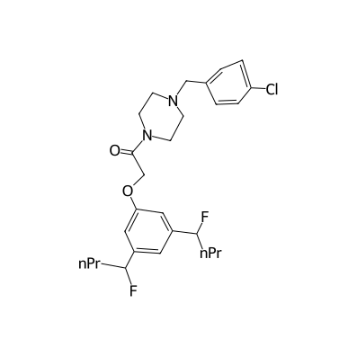 CCCC(F)c1cc(OCC(=O)N2CCN(Cc3ccc(Cl)cc3)CC2)cc(C(F)CCC)c1